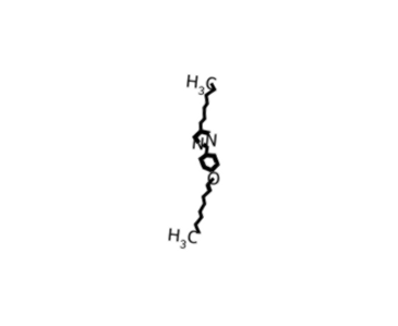 CCCCCCC/C=C/Oc1ccc(-c2ncc(CCCCCCC)cn2)cc1